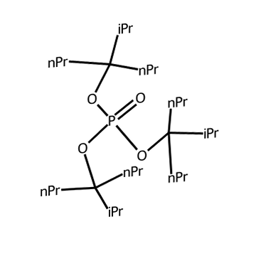 CCCC(CCC)(OP(=O)(OC(CCC)(CCC)C(C)C)OC(CCC)(CCC)C(C)C)C(C)C